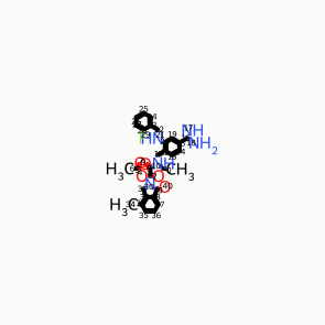 CCO[C@](OC(C)=O)(C(=O)NCc1ccc(C(=N)N)cc1NCc1ccccc1F)N1Cc2c(C)cccc2C1=O